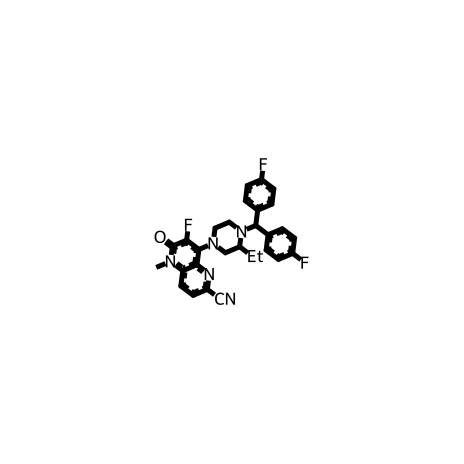 CCC1CN(c2c(F)c(=O)n(C)c3ccc(C#N)nc23)CCN1C(c1ccc(F)cc1)c1ccc(F)cc1